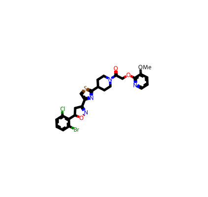 COc1cccnc1OCC(=O)N1CCC(c2nc(C3=NOC(c4c(Cl)cccc4Br)C3)cs2)CC1